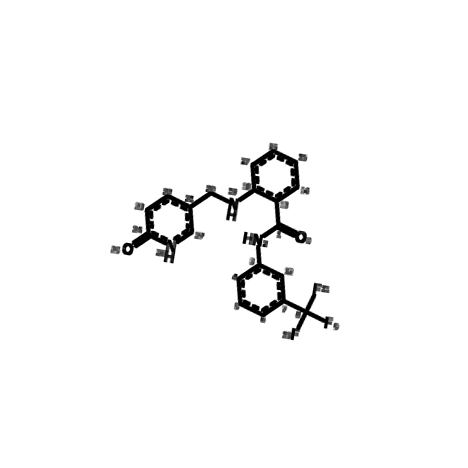 O=C(Nc1cccc(C(F)(F)F)c1)c1ccccc1NCc1ccc(=O)[nH]c1